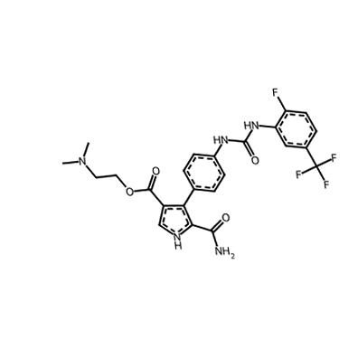 CN(C)CCOC(=O)c1c[nH]c(C(N)=O)c1-c1ccc(NC(=O)Nc2cc(C(F)(F)F)ccc2F)cc1